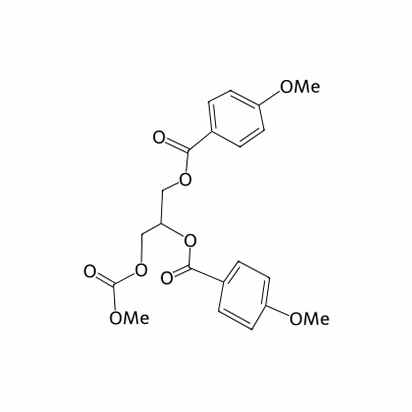 COC(=O)OCC(COC(=O)c1ccc(OC)cc1)OC(=O)c1ccc(OC)cc1